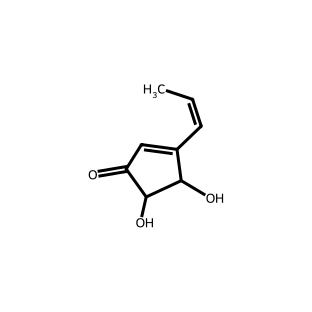 C/C=C\C1=CC(=O)C(O)C1O